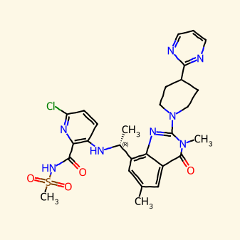 Cc1cc([C@@H](C)Nc2ccc(Cl)nc2C(=O)NS(C)(=O)=O)c2nc(N3CCC(c4ncccn4)CC3)n(C)c(=O)c2c1